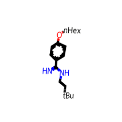 CCCCCCOc1ccc(C(=N)NCCC(C)(C)C)cc1